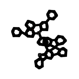 c1ccc(-c2ccc(N(c3ccc(-c4c5c(cc6c4oc4ccccc46)-c4ccccc4C54c5ccccc5-c5ccccc54)cc3)c3ccc(-c4ccccc4)cc3-c3ccccc3)cc2)cc1